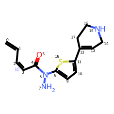 C=C/C=C\C(=O)N(N)c1ccc(C2=CCNCC2)s1